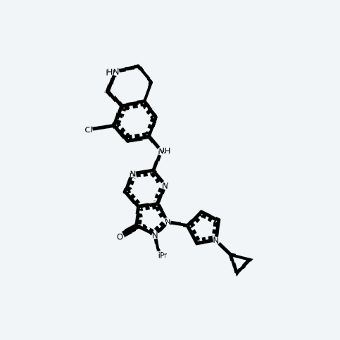 CC(C)n1c(=O)c2cnc(Nc3cc(Cl)c4c(c3)CCNC4)nc2n1-c1ccn(C2CC2)c1